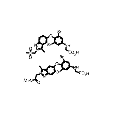 CNC(=O)Cn1nc2ccc(Oc3c(Br)cc(NCC(=O)O)cc3Br)cc2c1C.Cc1c2cc(Oc3c(Br)cc(NCC(=O)O)cc3Br)ccc2nn1CS(C)(=O)=O